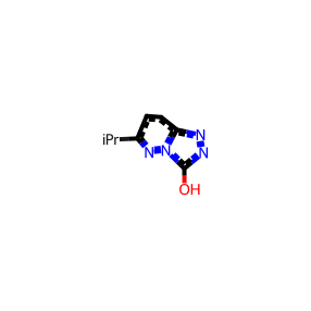 CC(C)c1ccc2nnc(O)n2n1